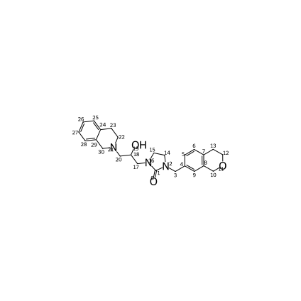 O=C1N(Cc2ccc3c(c2)COCC3)CCN1CC(O)CN1CCc2ccccc2C1